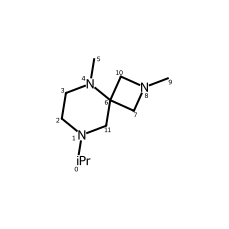 CC(C)N1CCN(C)C2(CN(C)C2)C1